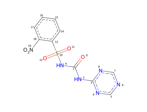 O=C(Nc1ncncn1)NS(=O)(=O)c1ccccc1[N+](=O)[O-]